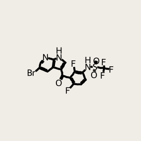 O=C(c1c(F)ccc(NS(=O)(=O)C(F)(F)F)c1F)c1c[nH]c2ncc(Br)cc12